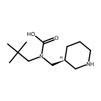 CC(C)(C)CN(C[C@H]1CCCNC1)C(=O)O